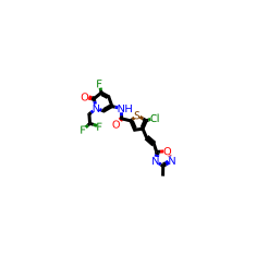 Cc1noc(C#Cc2cc(C(=O)Nc3cc(F)c(=O)n(CC(F)F)c3)sc2Cl)n1